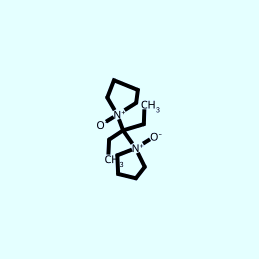 CCC(CC)([N+]1([O-])CCCC1)[N+]1([O-])CCCC1